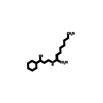 CCOC(=O)CCCCCC=C(NCCC(O)C1CCCCC1)C(=O)OCC